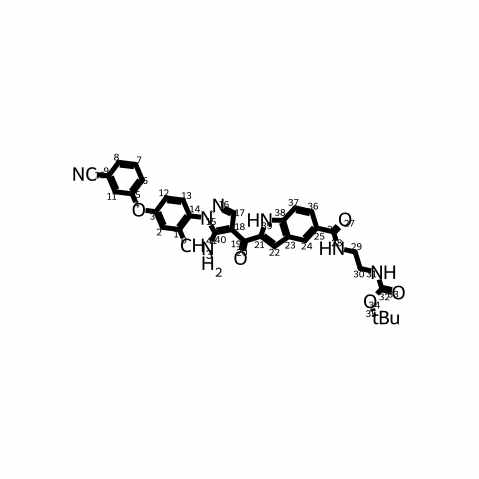 Cc1cc(Oc2cccc(C#N)c2)ccc1-n1ncc(C(=O)c2cc3cc(C(=O)NCCNC(=O)OC(C)(C)C)ccc3[nH]2)c1N